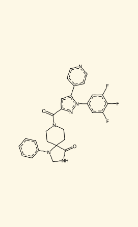 O=C(c1cc(-c2ccncc2)n(-c2cc(F)c(F)c(F)c2)n1)N1CCC2(CC1)C(=O)NCN2c1ccccc1